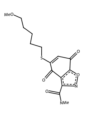 CNC(=O)c1noc2c1C(=O)C(SCCCCCOC)=CC2=O